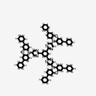 c1ccc(-c2ccc3c(c2)Oc2cc(-c4ccccc4)ccc2N3c2cnc(-c3cc(-c4ncc(N5c6ccc(-c7ccccc7)cc6Oc6cc(-c7ccccc7)ccc65)cn4)cc(-c4ncc(N5c6ccc(-c7ccccc7)cc6Oc6cc(-c7ccccc7)ccc65)cn4)c3)nc2)cc1